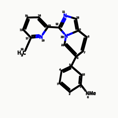 CNc1cccc(-c2ccc3cnc(-c4cccc(C)n4)n3c2)c1